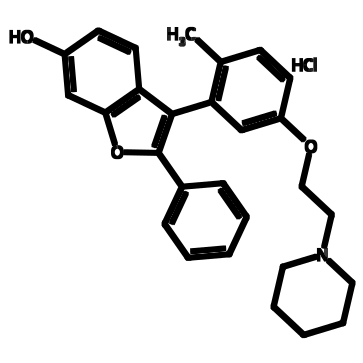 Cc1ccc(OCCN2CCCCC2)cc1-c1c(-c2ccccc2)oc2cc(O)ccc12.Cl